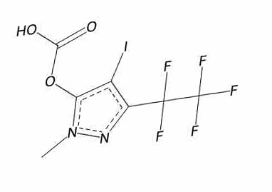 Cn1nc(C(F)(F)C(F)(F)F)c(I)c1OC(=O)O